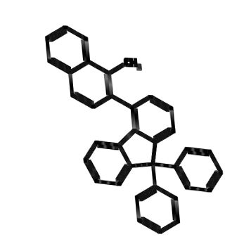 Cc1c(-c2cccc3c2-c2ccccc2C3(c2ccccc2)c2ccccc2)ccc2ccccc12